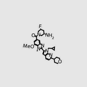 COc1cc(C(=O)N2C[C@H](N)C[C@@H](F)C2)cc2nc(-c3cc4ccc(C5CCOCC5)nc4n3CC3CC3)n(C)c12